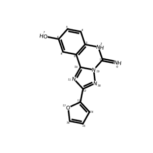 N=c1[nH]c2ccc(O)cc2c2nc(-c3ccco3)nn12